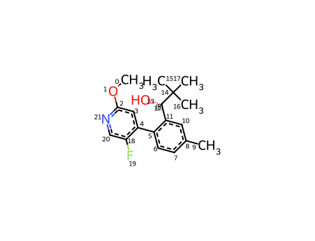 COc1cc(-c2ccc(C)cc2[C@H](O)C(C)(C)C)c(F)cn1